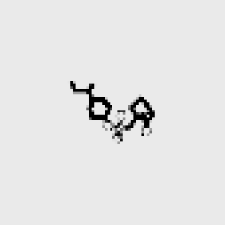 CCC(C)c1ccc(OS(=O)(=O)CC23CCC(CC2=O)S3)cc1